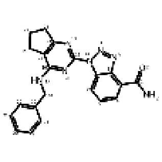 NC(=O)c1cccc2c1nnn2-c1nc2c(c(NCc3ccccc3)n1)CCC2